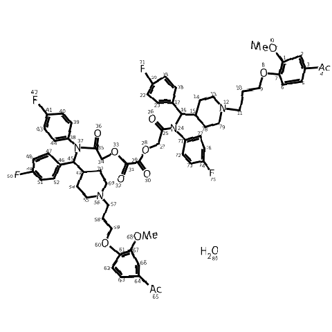 COc1cc(C(C)=O)ccc1OCCCN1CCC(C(c2ccc(F)cc2)N(C(=O)COC(=O)C(=O)OCC(=O)N(c2ccc(F)cc2)C(c2ccc(F)cc2)C2CCN(CCCOc3ccc(C(C)=O)cc3OC)CC2)c2ccc(F)cc2)CC1.O